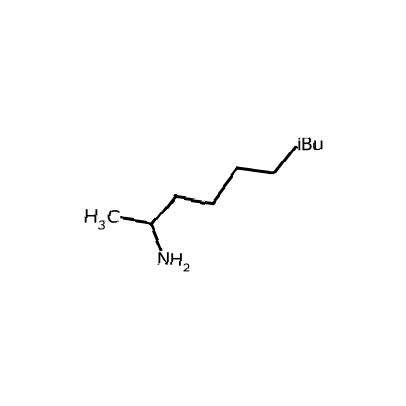 CCC(C)CCCCC(C)N